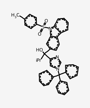 Cc1ccc(S(=O)(=O)n2c3ccccc3c3ccc(C(O)(c4cn(C(c5ccccc5)(c5ccccc5)c5ccccc5)cn4)C(C)C)cc32)cc1